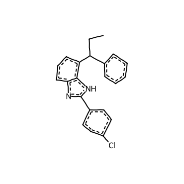 CCC(c1ccccc1)c1cccc2nc(-c3ccc(Cl)cc3)[nH]c12